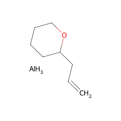 C=CCC1CCCCO1.[AlH3]